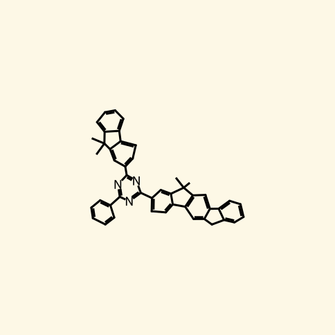 CC1(C)c2ccccc2-c2ccc(-c3nc(-c4ccccc4)nc(-c4ccc5c(c4)C(C)(C)c4cc6c(cc4-5)Cc4ccccc4-6)n3)cc21